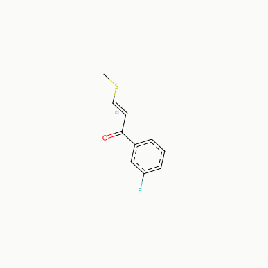 CS/C=C/C(=O)c1cccc(F)c1